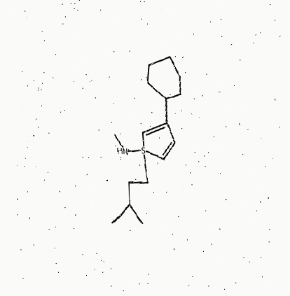 CNS1(CCC(C)C)C=CC(C2CCCCC2)=C1